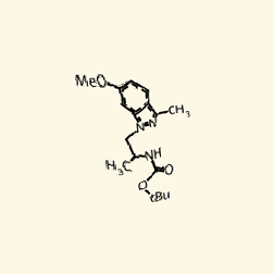 COc1ccc2c(C)nn(CC(C)NC(=O)OC(C)(C)C)c2c1